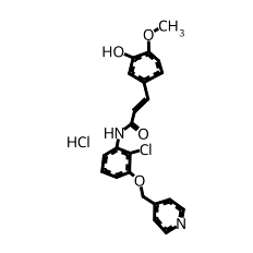 COc1ccc(C=CC(=O)Nc2cccc(OCc3ccncc3)c2Cl)cc1O.Cl